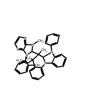 C=CC1(C)c2ccccc2N2c3ccccc3N(c3ccccc3)C2C1(C)C1N(C)c2nccnc2N1c1ccccc1C